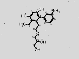 CCc1c(O)cc(O)c(-c2cccc(N)c2)c1CCOCC(O)CO